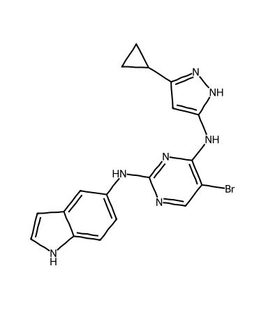 Brc1cnc(Nc2ccc3[nH]ccc3c2)nc1Nc1cc(C2CC2)n[nH]1